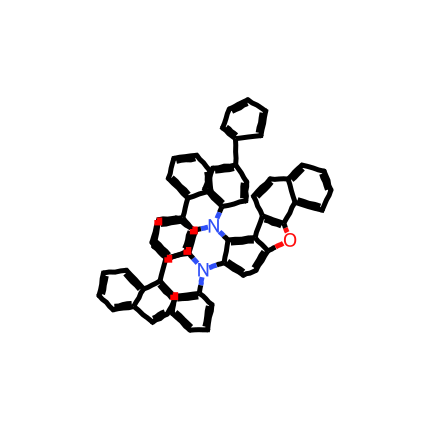 c1ccc(-c2ccc(N(c3ccccc3-c3ccccc3)c3c(N(c4ccccc4)c4ccccc4-c4cccc5ccccc45)ccc4oc5c6ccccc6ccc5c34)cc2)cc1